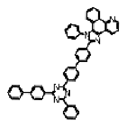 c1ccc(-c2ccc(-c3nc(-c4ccccc4)nc(-c4ccc(-c5ccc(-c6nc7c8cccnc8c8ccccc8c7n6-c6ccccc6)cc5)cc4)n3)cc2)cc1